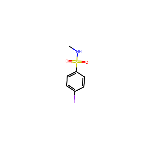 CNS(=O)(=O)c1ccc(I)cc1